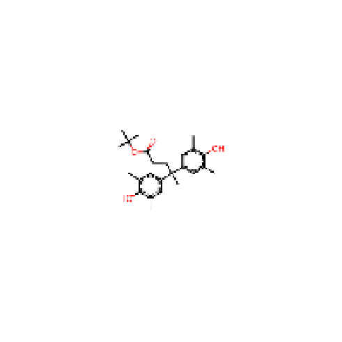 Cc1cc(C(C)(CCC(=O)OC(C)(C)C)c2cc(C)c(O)c(C)c2)cc(C)c1O